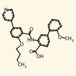 CCCCOc1ccc(-c2ccncc2)cc1C(=O)Nc1cc(-c2ccccc2OC)ccc1C(=O)O